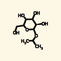 CC(C)OC1OC(CO)[C@@H](O)C(O)[C@H]1O